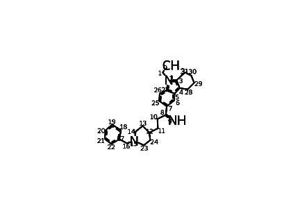 CCn1c2c(c3cc(C(=N)CCC4CCN(Cc5ccccc5)CC4)ccc31)CCCC2